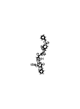 CC(C)CC(NC(=O)CNC(=O)C(Cc1ccccc1)NC(=O)OC(C)(C)C)C(=O)NCC(=O)N1CC2(CCN(C(=O)OCc3ccccc3)CC2(F)F)C1